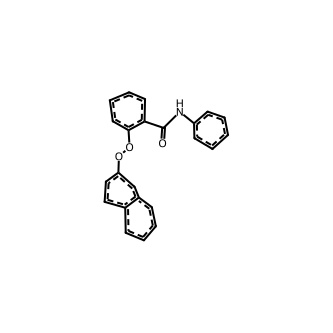 O=C(Nc1ccccc1)c1ccccc1OOc1ccc2ccccc2c1